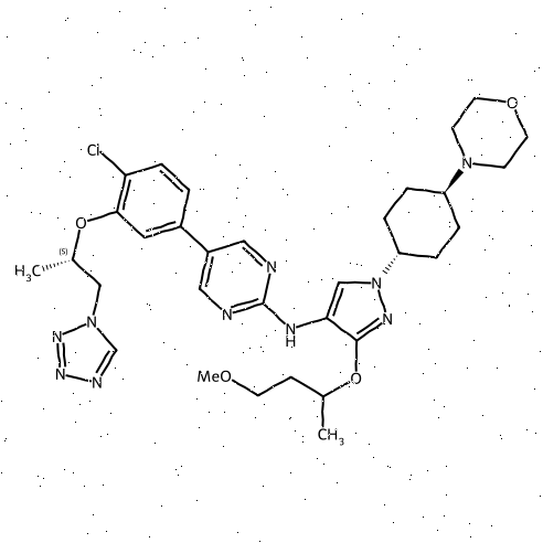 COCCC(C)Oc1nn([C@H]2CC[C@H](N3CCOCC3)CC2)cc1Nc1ncc(-c2ccc(Cl)c(O[C@@H](C)Cn3cnnn3)c2)cn1